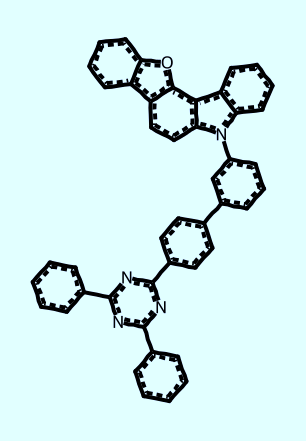 c1ccc(-c2nc(-c3ccccc3)nc(-c3ccc(-c4cccc(-n5c6ccccc6c6c7oc8ccccc8c7ccc65)c4)cc3)n2)cc1